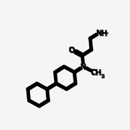 CN(C(=O)CC[NH])C1CCC(C2CCCCC2)CC1